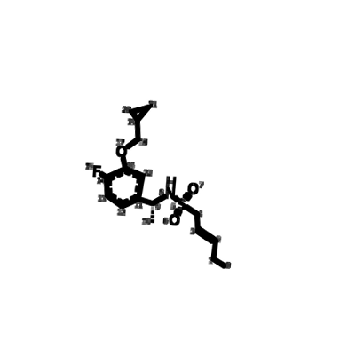 CC/C=C/CS(=O)(=O)N[C@H](C)c1ccc(F)c(OCC2CC2)c1